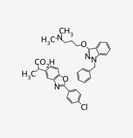 CC(C(=O)O)c1ccc2oc(-c3ccc(Cl)cc3)nc2c1.CN(C)CCCOc1nn(Cc2ccccc2)c2ccccc12